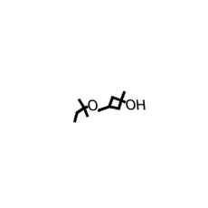 CCC(C)(C)OCC1CC(C)(O)C1